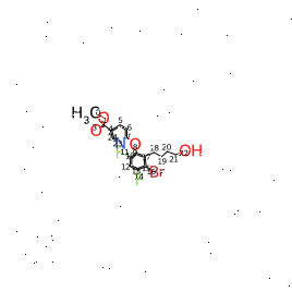 COC(=O)c1ccc(Oc2c(F)cc(F)c(Br)c2CCCCO)nc1